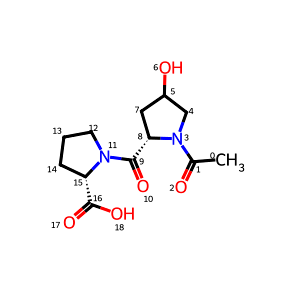 CC(=O)N1CC(O)C[C@H]1C(=O)N1CCC[C@H]1C(=O)O